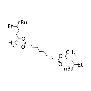 CCCCC(CC)CCC(C)OC(=O)CCCCCCCCC(=O)OC(C)CCC(CC)CCCC